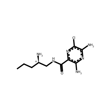 CCC[C@@H](N)CNC(=O)c1nc(Cl)c(N)nc1N